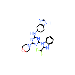 FC(F)c1nc2ccccc2n1-c1nc(NC2CCc3[nH]cnc3C2)nc(N2CCOCC2)n1